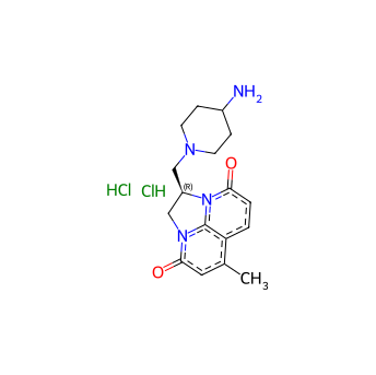 Cc1cc(=O)n2c3c1ccc(=O)n3[C@H](CN1CCC(N)CC1)C2.Cl.Cl